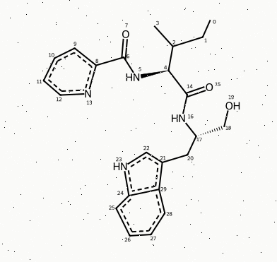 CCC(C)[C@H](NC(=O)c1ccccn1)C(=O)N[C@H](CO)Cc1c[nH]c2ccccc12